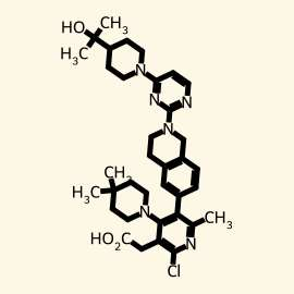 Cc1nc(Cl)c(CC(=O)O)c(N2CCC(C)(C)CC2)c1-c1ccc2c(c1)CCN(c1nccc(N3CCC(C(C)(C)O)CC3)n1)C2